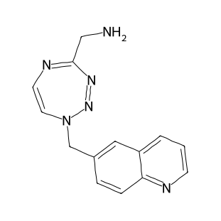 NCC1=NC=CN(Cc2ccc3ncccc3c2)N=N1